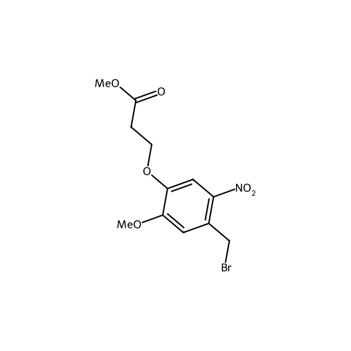 COC(=O)CCOc1cc([N+](=O)[O-])c(CBr)cc1OC